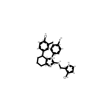 Cc1cc(C2CCCc3nc(SCc4sccc4Cl)n(-c4ccc(F)cc4)c32)ccc1Cl